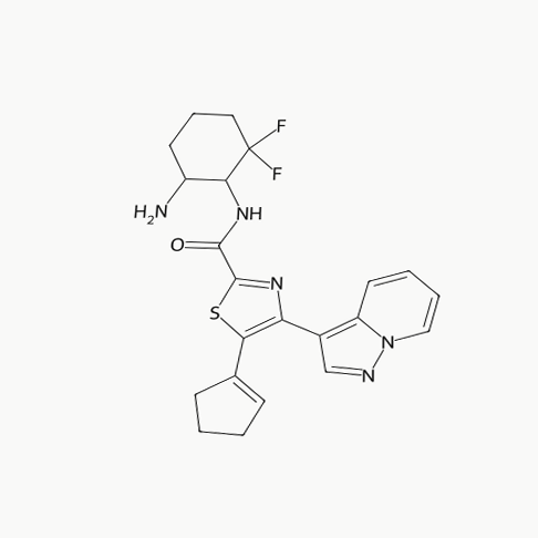 NC1CCCC(F)(F)C1NC(=O)c1nc(-c2cnn3ccccc23)c(C2=CCCC2)s1